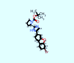 CC(C)(C)OC(=O)N1CCC[C@@H]1c1ncc(-c2ccc3c(c2)oc2cc(Br)ccc23)[nH]1